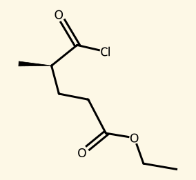 CCOC(=O)CC[C@@H](C)C(=O)Cl